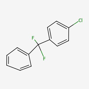 FC(F)(c1ccccc1)c1ccc(Cl)cc1